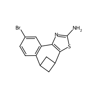 Nc1nc2c(s1)C1CC(C1)c1ccc(Br)cc1-2